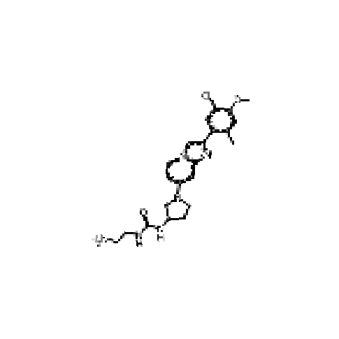 COc1cc(C)c(-c2cn3ccc(N4CCC(NC(=O)NCCN)C4)cc3n2)cc1Cl